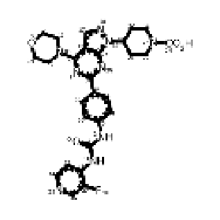 O=C(Nc1ccc(-c2nc(N3CCOCC3)c3cnn(C4CCN(C(=O)O)CC4)c3n2)cc1)Nc1ccncc1F